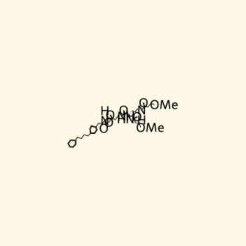 COCCC(=O)NCCC[C@H](NC(=O)CCOC)C(=O)NCCC(=O)ONC(=O)Cc1ccc(CCCCc2ccccc2)cc1